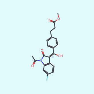 COC(=O)CCc1ccc(/C(O)=C2\C(=O)N(C(C)=O)c3cc(F)ccc32)cc1